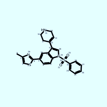 Cc1csc(-c2ccc3c(c2)c(C2=CCNCC2)cn3S(=O)(=O)c2ccccc2)n1